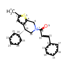 Cc1cc2c(s1)CN(C(=O)/C=C/c1ccccc1)C[C@@H]2c1ccccc1